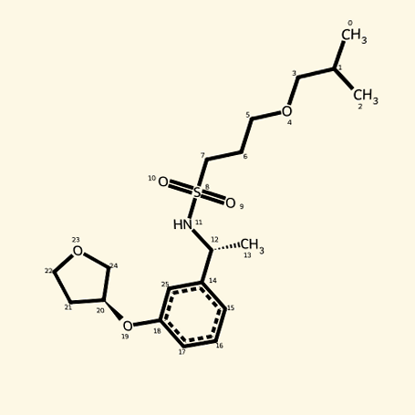 CC(C)COCCCS(=O)(=O)N[C@H](C)c1cccc(O[C@H]2CCOC2)c1